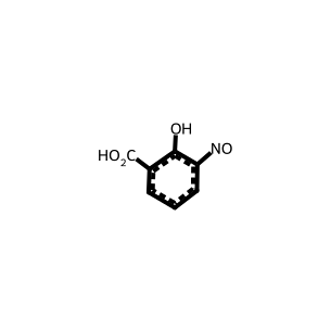 O=Nc1cccc(C(=O)O)c1O